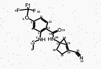 CSNc1cc(OC(F)(F)F)ccc1C(=O)NC12CCC(C#N)=C1C2